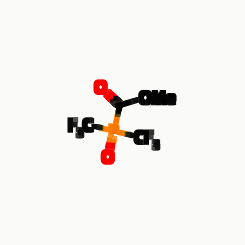 COC(=O)P(=O)(C(F)(F)F)C(F)(F)F